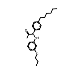 CCCCCCc1ccc(N(Nc2cccc(OCCC)c2)C(C)=O)cc1